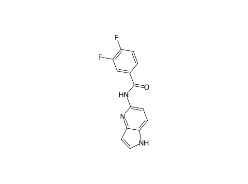 O=C(Nc1ccc2[nH]ccc2n1)c1ccc(F)c(F)c1